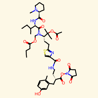 CCCC(=O)OCN(C(=O)[C@H](NC(=O)[C@@H]1CCCCN1C)C(C)CC)[C@@H](CCc1nc(C(=O)NCC[C@@H](Cc2cc(O)ccc2C)C(=O)ON2C(=O)CCC2=O)cs1)C(C)(C)OC(C)=O